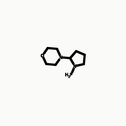 PN1CCCC1N1CCOCC1